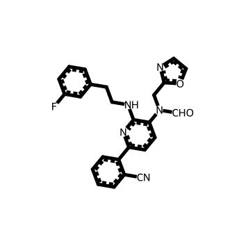 N#Cc1ccccc1-c1ccc(N(C=O)Cc2ncco2)c(NCCc2cccc(F)c2)n1